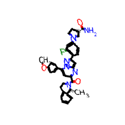 COc1ccc(-c2cc(C(=O)N3CCc4ccccc4[C@H]3C)nc3cc(-c4ccc(N5CC[C@H](C(N)=O)C5)cc4F)nn23)cc1